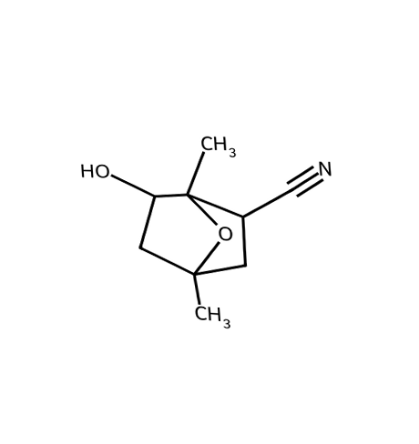 CC12CC(O)C(C)(O1)C(C#N)C2